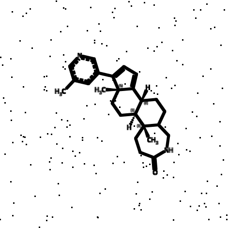 Cc1cncc(C2=CC=C3[C@@H]4CCC5CNC(=O)CC[C@]5(C)[C@H]4CC[C@]23C)c1